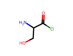 NC(CO)C(=O)Cl